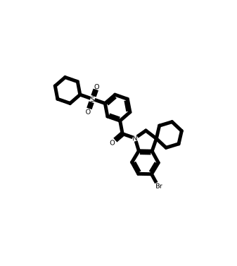 O=C(c1cccc(S(=O)(=O)C2CCCCC2)c1)N1CC2(CCCCC2)c2cc(Br)ccc21